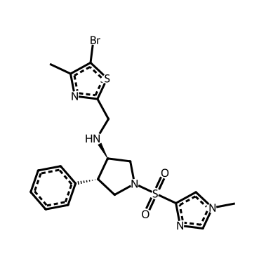 Cc1nc(CN[C@H]2CN(S(=O)(=O)c3cn(C)cn3)C[C@@H]2c2ccccc2)sc1Br